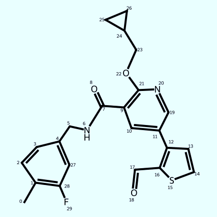 Cc1ccc(CNC(=O)c2cc(-c3ccsc3C=O)cnc2OCC2CC2)cc1F